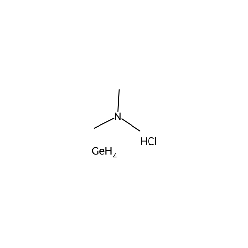 CN(C)C.Cl.[GeH4]